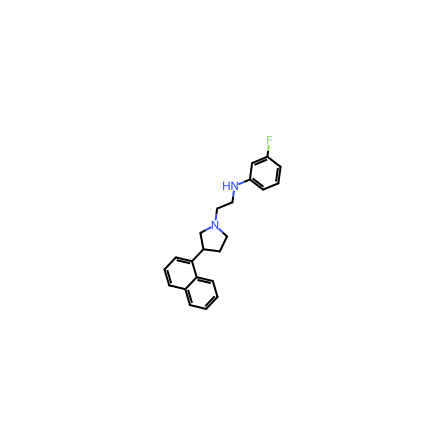 Fc1cccc(NCCN2CCC(c3cccc4ccccc34)C2)c1